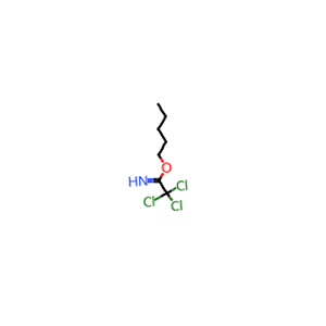 CCCCCOC(=N)C(Cl)(Cl)Cl